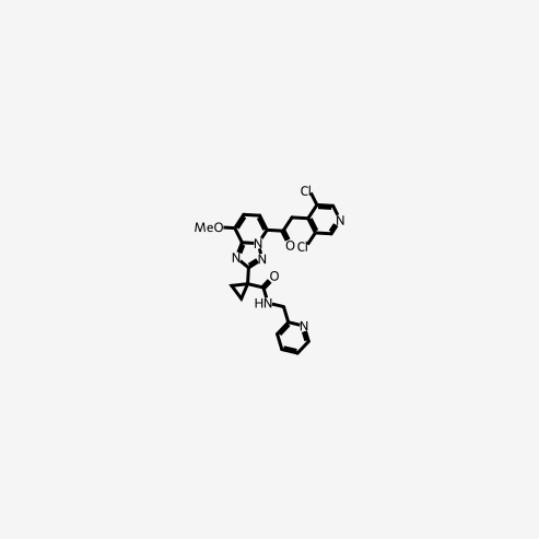 COc1ccc(C(=O)Cc2c(Cl)cncc2Cl)n2nc(C3(C(=O)NCc4ccccn4)CC3)nc12